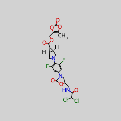 Cc1oc(=O)oc1COC(=O)C1[C@H]2CN(c3c(F)cc(N4CC(CNC(=O)C(Cl)Cl)OC4=O)cc3F)C[C@@H]12